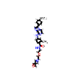 COc1ccc(-c2cnc3c(Nc4ccc(C(=O)NCCOCCN5CC6(COC6)C5)c(C)c4)nccn23)cc1